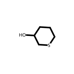 OC1CCCSC1